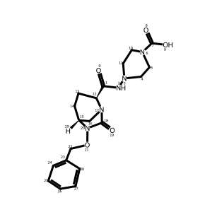 O=C(NN1CCN(C(=O)O)CC1)[C@@H]1CC[C@@H]2CN1C(=O)N2OCc1ccccc1